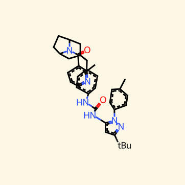 Cc1ccc(-n2nc(C(C)(C)C)cc2NC(=O)Nc2ccc(CC3CC4CCC(C3)N4C(=O)c3cccnc3C)cc2)cc1